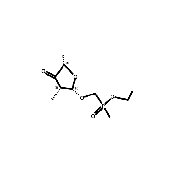 CCOP(C)(=O)CO[C@H]1O[C@@H](C)C(=O)[C@H]1C